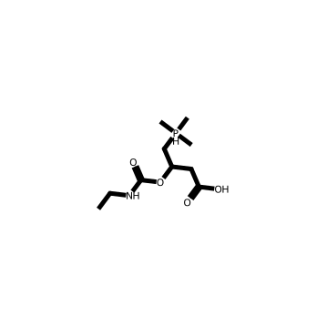 CCNC(=O)OC(CC(=O)O)C[PH](C)(C)C